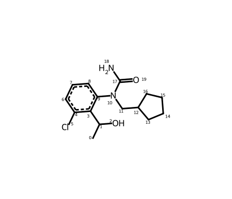 CC(O)c1c(Cl)cccc1N(CC1CCCC1)C(N)=O